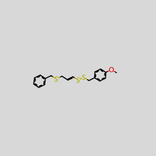 COc1ccc(CSS/C=C/CSCc2ccccc2)cc1